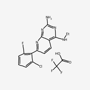 CCNc1nc(N)nc2nc(-c3c(F)cccc3Cl)ccc12.O=C(O)C(F)(F)F